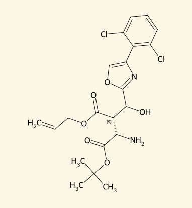 C=CCOC(=O)[C@@H](C(N)C(=O)OC(C)(C)C)C(O)c1nc(-c2c(Cl)cccc2Cl)co1